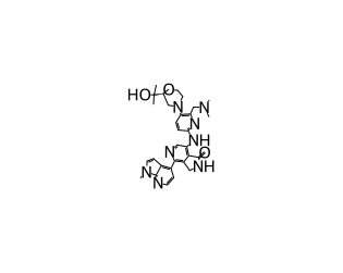 CN(C)Cc1nc(Nc2cnc(-c3ccnc4c3ccn4C)c3c2C(=O)NC3)ccc1N1CCO[C@H](C(C)(C)O)C1